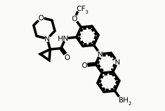 Bc1ccc2c(=O)n(-c3ccc(OC(F)(F)F)c(NC(=O)C4(N5CCOCC5)CC4)c3)cnc2c1